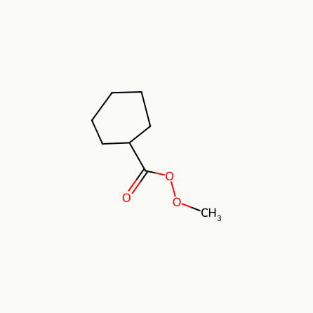 COOC(=O)C1CCCCC1